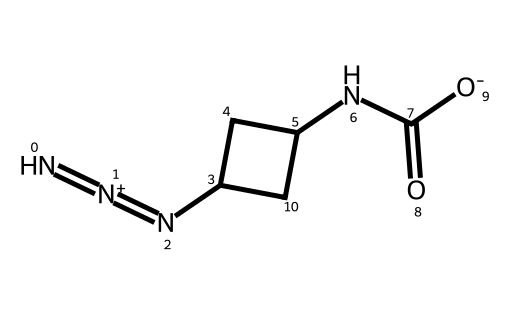 N=[N+]=NC1CC(NC(=O)[O-])C1